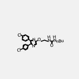 CCCCNC(=O)NCCCOc1cnc(-c2ccc(Cl)cc2)c(-c2ccc(Cl)cc2)n1